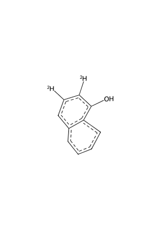 [2H]c1cc2ccccc2c(O)c1[2H]